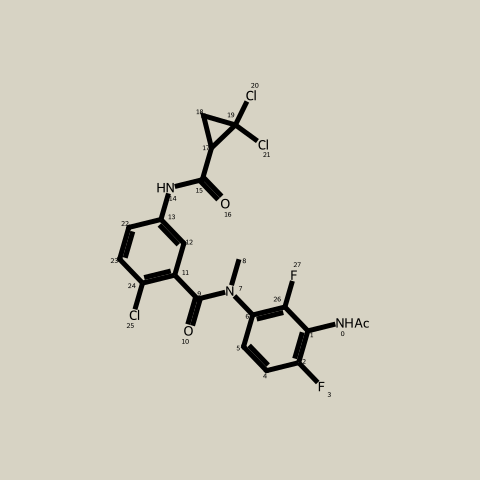 CC(=O)Nc1c(F)ccc(N(C)C(=O)c2cc(NC(=O)C3CC3(Cl)Cl)ccc2Cl)c1F